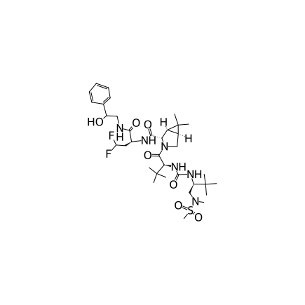 CN(C[C@@H](NC(=O)N[C@H](C(=O)N1C[C@H]2[C@@H]([C@H]1C(=O)N[C@@H](CC(F)F)C(=O)NCC(O)c1ccccc1)C2(C)C)C(C)(C)C)C(C)(C)C)S(C)(=O)=O